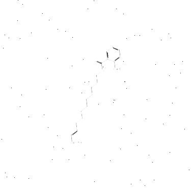 CCCCCCC=CCCCCCCCCCOC(=O)c1ccccc1O